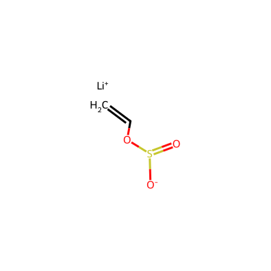 C=COS(=O)[O-].[Li+]